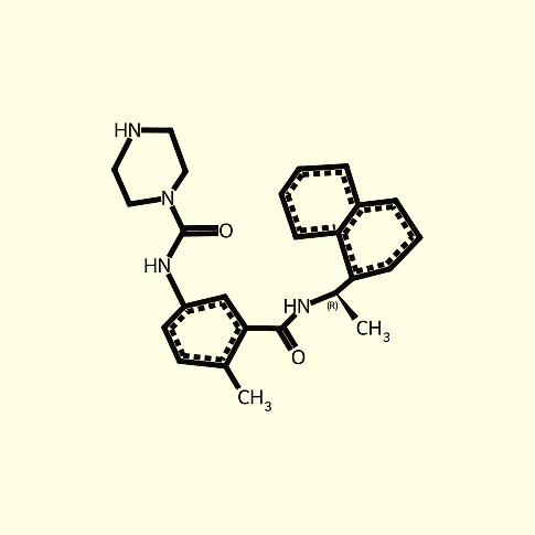 Cc1ccc(NC(=O)N2CCNCC2)cc1C(=O)N[C@H](C)c1cccc2ccccc12